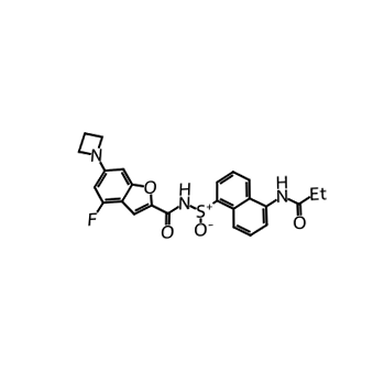 CCC(=O)Nc1cccc2c([S+]([O-])NC(=O)c3cc4c(F)cc(N5CCC5)cc4o3)cccc12